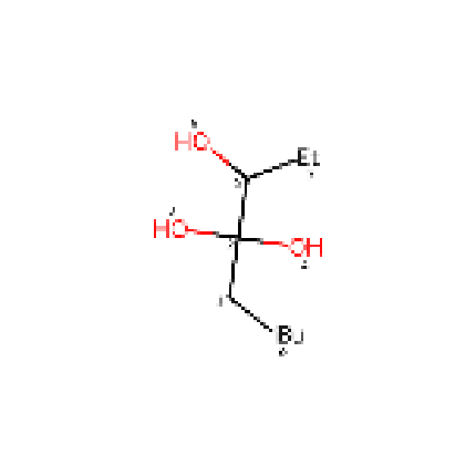 CCC(C)CC(O)(O)C(O)CC